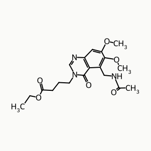 CCOC(=O)CCCn1cnc2cc(OC)c(OC)c(CNC(C)=O)c2c1=O